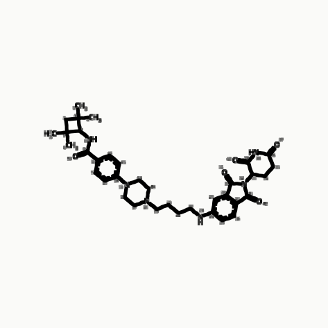 CC1(C)CC(C)(C)C1NC(=O)c1ccc(N2CCN(CCCCNc3ccc4c(c3)C(=O)N(C3CCC(=O)NC3=O)C4=O)CC2)cc1